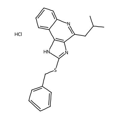 CC(C)Cc1nc2ccccc2c2[nH]c(SCc3ccccc3)nc12.Cl